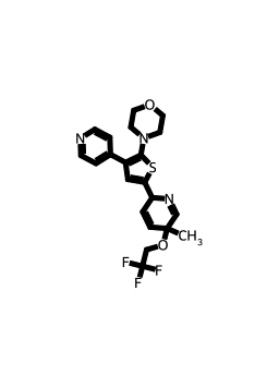 CC1(OCC(F)(F)F)C=CC(c2cc(-c3ccncc3)c(N3CCOCC3)s2)N=C1